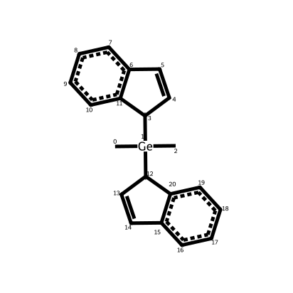 [CH3][Ge]([CH3])([C]1C=Cc2ccccc21)[C]1C=Cc2ccccc21